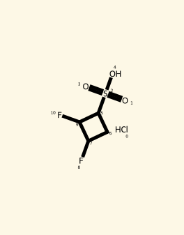 Cl.O=S(=O)(O)C1CC(F)C1F